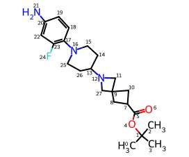 CC(C)(C)OC(=O)C1CC2(C1)CN(C1CCN(c3ccc(N)cc3F)CC1)C2